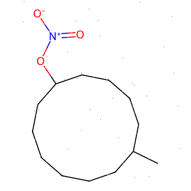 CC1CCCCCCC(O[N+](=O)[O-])CCCC1